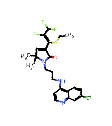 CCS/C(C1=CC(C)(C)N(CCCNc2ccnc3cc(Cl)ccc23)C1=O)=C(/F)C(F)F